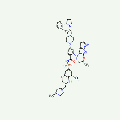 CC(C)c1ccccc1[C@@H]1CCCN1C1CC2(CCN(c3ccc(C(=O)NS(=O)(=O)c4cc5c(c([N+](=O)[O-])c4)N[C@@H](CN4CCN(C)CC4)CO5)c(N4CC[C@H](C(F)(F)F)Oc5nc6[nH]ccc6cc54)c3)CC2)C1